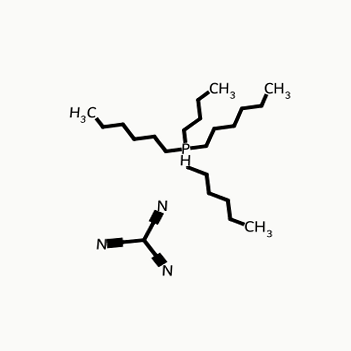 CCCCCC[PH](CCCC)(CCCCCC)CCCCCC.N#CC(C#N)C#N